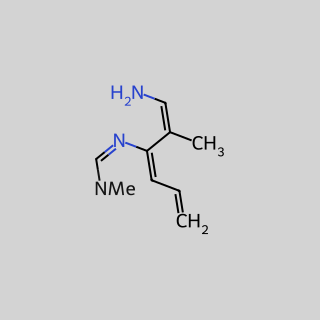 C=C/C=C(/N=C\NC)C(\C)=C/N